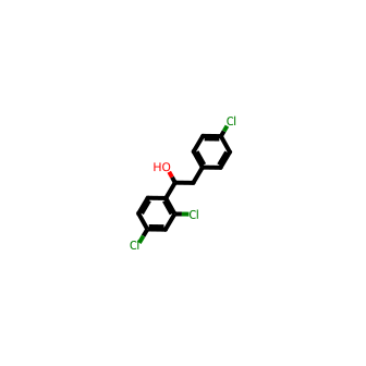 OC(Cc1ccc(Cl)cc1)c1ccc(Cl)cc1Cl